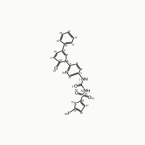 O=C(Nc1ccc(-n2cc(-c3ccccc3)ccc2=O)nc1)NS(=O)(=O)c1ccc(F)s1